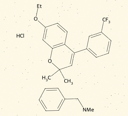 CCOc1ccc2c(c1)OC(C)(C)C=C2c1cccc(C(F)(F)F)c1.CNCc1ccccc1.Cl